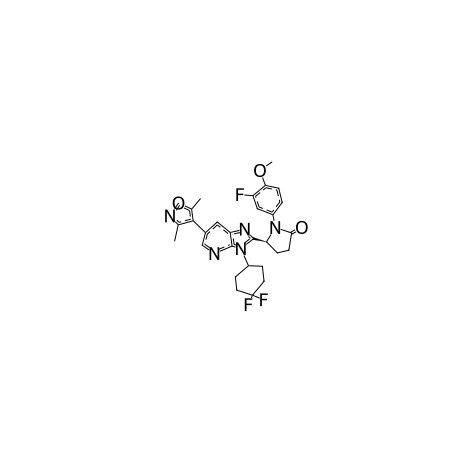 COc1ccc(N2C(=O)CC[C@H]2c2nc3cc(-c4c(C)noc4C)cnc3n2C2CCC(F)(F)CC2)cc1F